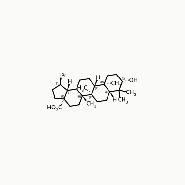 CC(C)[C@@H]1CC[C@]2(C(=O)O)CC[C@]3(C)C(CC[C@@H]4[C@@]5(C)CC[C@H](O)C(C)(C)[C@@H]5CC[C@]43C)[C@@H]12